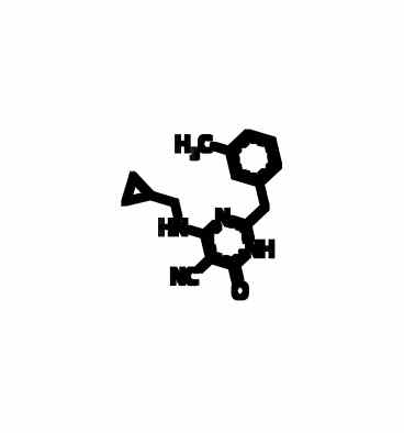 Cc1cccc(Cc2nc(NCC3CC3)c(C#N)c(=O)[nH]2)c1